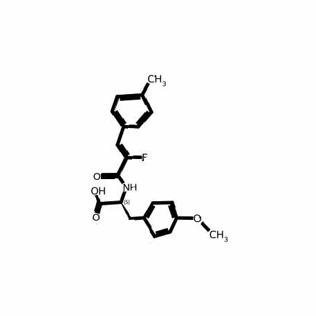 COc1ccc(C[C@H](NC(=O)C(F)=Cc2ccc(C)cc2)C(=O)O)cc1